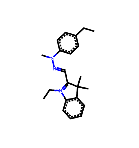 CCc1ccc(N(C)/N=C/C2=[N+](CC)c3ccccc3C2(C)C)cc1